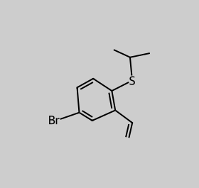 C=Cc1cc(Br)ccc1SC(C)C